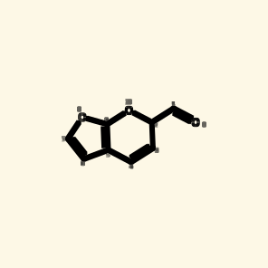 O=CC1C=Cc2ccoc2O1